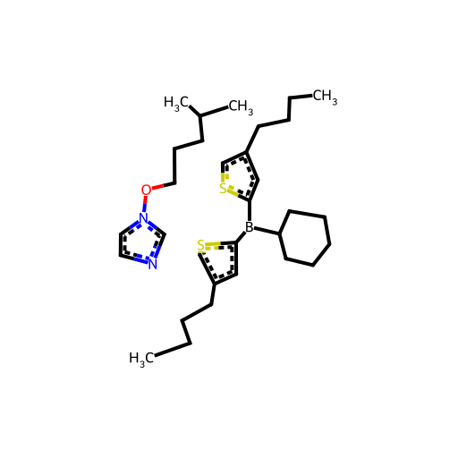 CC(C)CCCOn1ccnc1.CCCCc1csc(B(c2cc(CCCC)cs2)C2CCCCC2)c1